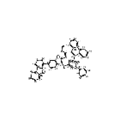 C=C/C=C\c1oc2cc(-c3cccc4c3oc3ccccc34)ccc2c1Cc1nc(-c2ccccc2)nc(-c2cc3ccccc3c3ccccc23)n1